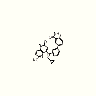 Cn1c(=O)cc(N(CC2CC2)c2cccc(-c3cccc(C(N)=O)c3)c2)c2nc(C#N)ccc21